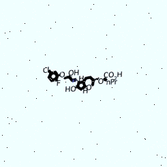 CCCC(OC[C@@H]1CC[C@@H]2[C@@H](/C=C/[C@@H](O)COc3cc(Cl)ccc3F)[C@H](O)C[C@@H]2OC1)C(=O)O